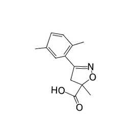 Cc1ccc(C)c(C2=NOC(C)(C(=O)O)C2)c1